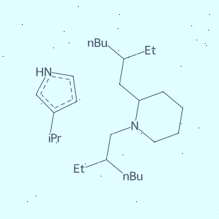 CC(C)c1cc[nH]c1.CCCCC(CC)CC1CCCCN1CC(CC)CCCC